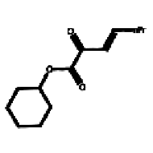 CCCC=CC(=O)C(=O)OC1CCCCC1